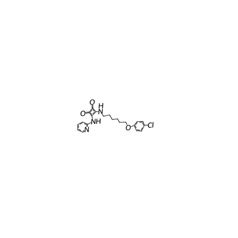 O=c1c(NCCCCCCOc2ccc(Cl)cc2)c(Nc2ccccn2)c1=O